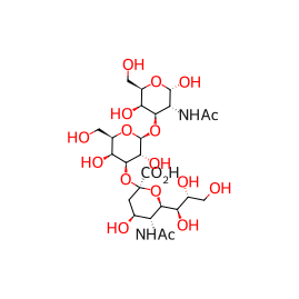 CC(=O)N[C@@H]1[C@@H](O[C@@H]2O[C@H](CO)[C@H](O)[C@H](O[C@]3(C(=O)O)C[C@H](O)[C@@H](NC(C)=O)[C@H]([C@H](O)[C@H](O)CO)O3)[C@H]2O)[C@@H](O)[C@@H](CO)O[C@@H]1O